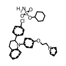 Clc1ccc(C2CCc3ccccc3N2c2ccc(OCCn3cccc3)cc2)cc1.NS(=O)(=O)OC1CCCCC1